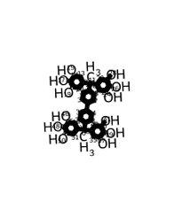 CC(c1ccc(-c2ccc(C(C)(c3cc(O)c(O)c(O)c3)c3cc(O)c(O)c(O)c3)cc2)cc1)(c1cc(O)c(O)c(O)c1)c1cc(O)c(O)c(O)c1